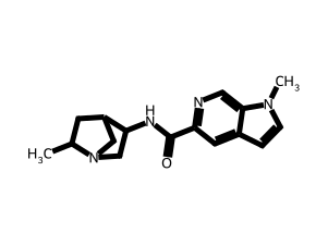 CC1CC2CN1CC2NC(=O)c1cc2ccn(C)c2cn1